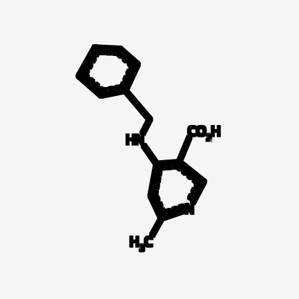 Cc1cc(NCc2ccccc2)c(C(=O)O)cn1